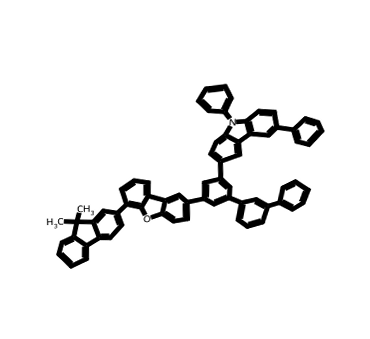 CC1(C)c2ccccc2-c2ccc(-c3cccc4c3oc3ccc(-c5cc(-c6cccc(-c7ccccc7)c6)cc(-c6ccc7c(c6)c6cc(-c8ccccc8)ccc6n7-c6ccccc6)c5)cc34)cc21